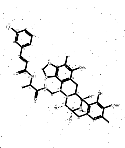 COc1c(C)cc2c(c1O)[C@H]1C3Cc4c(OC(C)=O)c(C)c5c(c4[C@H](CNC(=O)C(C)NC(=O)/C=C/c4cccc(C(F)(F)F)c4)N3[C@@H](C#N)[C@H](C2)N1C)OCO5